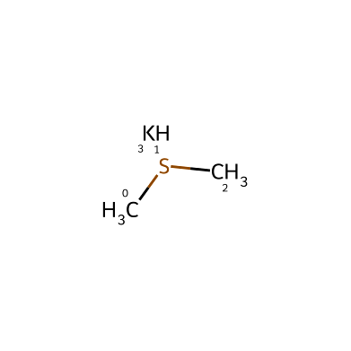 CSC.[KH]